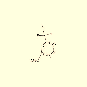 COc1cc(C(C)(F)F)ncn1